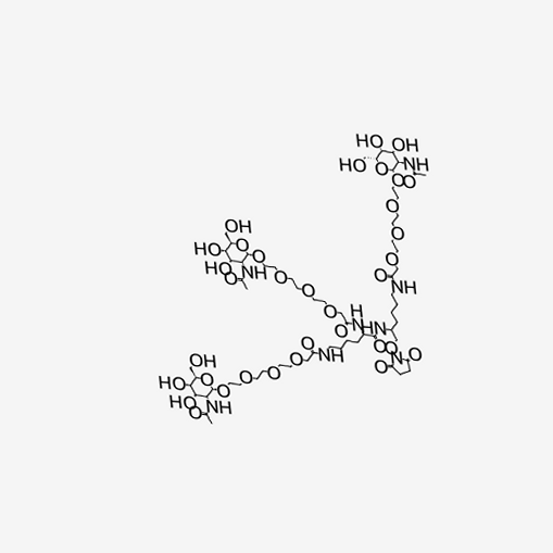 CC(=O)N[C@H]1[C@H](OCCOCCOCCOCC(=O)NCCCCC(CON2C(=O)CCC2=O)NC(=O)C(CCCCNC(=O)COCCOCCOCCO[C@@H]2O[C@H](CO)[C@H](O)[C@H](O)[C@H]2NC(C)=O)NC(=O)COCCOCCOCCO[C@@H]2O[C@H](CO)[C@H](O)[C@H](O)[C@H]2NC(C)=O)O[C@H](CO)[C@H](O)[C@@H]1O